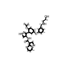 O=C(Nc1c[nH]nc1-c1cc(Oc2cccc(CNCCO)c2)ccc1OC(F)F)c1cnn2cccnc12